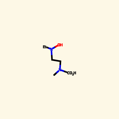 CCN(O)CCN(C)C(=O)O